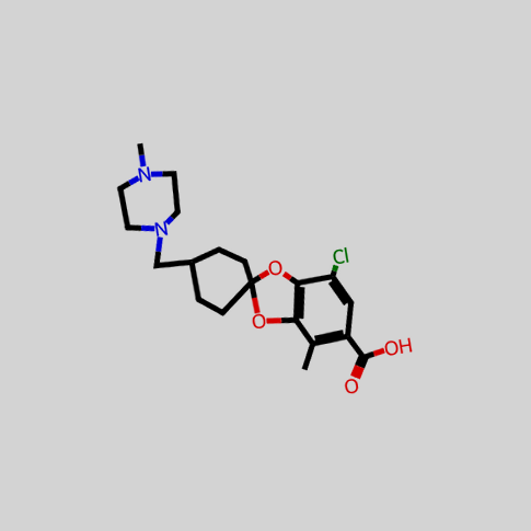 Cc1c(C(=O)O)cc(Cl)c2c1OC1(CCC(CN3CCN(C)CC3)CC1)O2